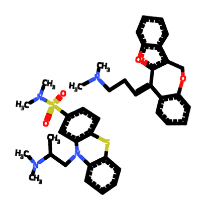 CC(CN1c2ccccc2Sc2ccc(S(=O)(=O)N(C)C)cc21)N(C)C.CN(C)CCC=C1c2ccccc2OCc2c1oc1ccccc21